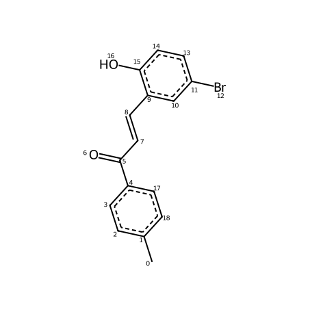 Cc1ccc(C(=O)C=Cc2cc(Br)ccc2O)cc1